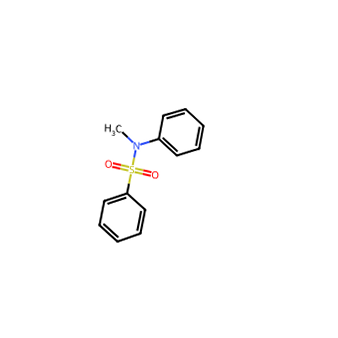 CN(c1ccccc1)S(=O)(=O)c1ccccc1